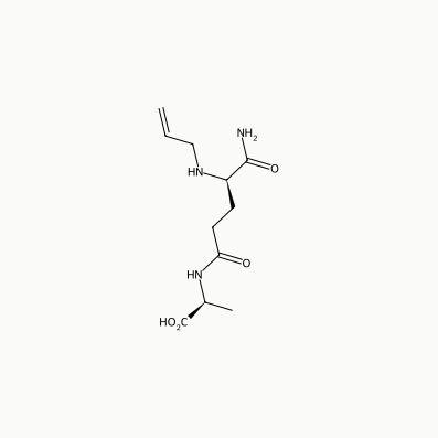 C=CCN[C@H](CCC(=O)N[C@@H](C)C(=O)O)C(N)=O